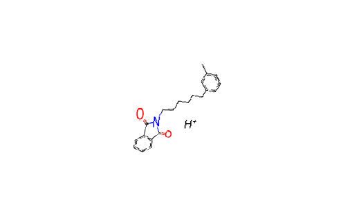 Cc1cccc(CCCCCCN2C(=O)c3ccccc3C2=O)c1.[H+]